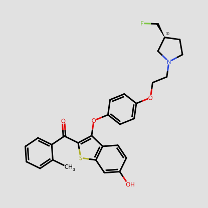 Cc1ccccc1C(=O)c1sc2cc(O)ccc2c1Oc1ccc(OCCN2CC[C@H](CF)C2)cc1